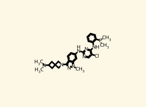 CN(C)C1CC2(C1)CN(c1nn(C)c3cc(Nc4ncc(Cl)c(Nc5ccccc5P(C)C)n4)ccc13)C2